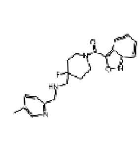 Cc1ccc(CNCC2(F)CCN(C(=O)c3onc4ccccc34)CC2)nc1